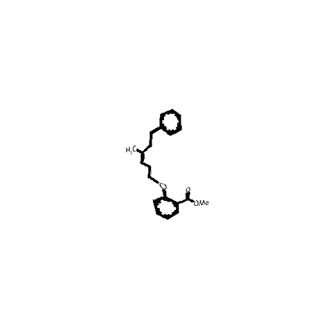 COC(=O)c1ccccc1OCCC=C(C)CCc1ccccc1